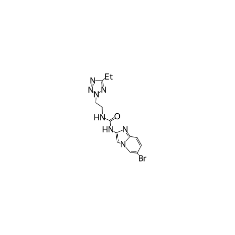 CCc1nnn(CCNC(=O)Nc2cn3cc(Br)ccc3n2)n1